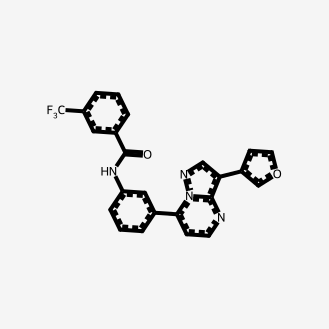 O=C(Nc1cccc(-c2ccnc3c(-c4ccoc4)cnn23)c1)c1cccc(C(F)(F)F)c1